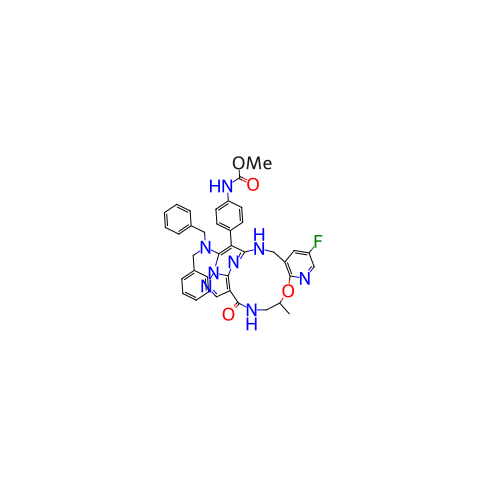 COC(=O)Nc1ccc(-c2c3nc4c(cnn4c2N(Cc2ccccc2)Cc2ccccc2)C(=O)NCC(C)Oc2ncc(F)cc2CN3)cc1